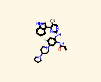 C=CC(=O)Nc1cc(N2CCC(N3CCCC3)CC2)c(F)cc1Nc1ncc(C#N)c(-c2c[nH]c3ccccc23)n1